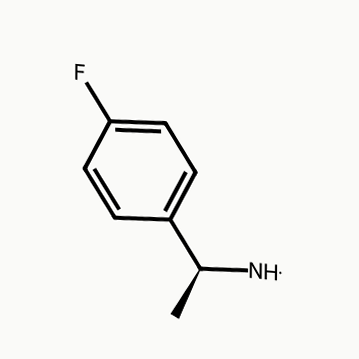 C[C@H]([NH])c1ccc(F)cc1